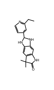 CCc1cc(C2Nc3cc4c(cc3N2)C(C)(C)C(=O)N4)ccn1